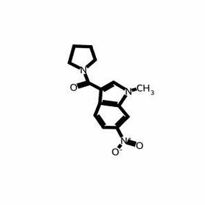 Cn1cc(C(=O)N2CCCC2)c2ccc([N+](=O)[O-])cc21